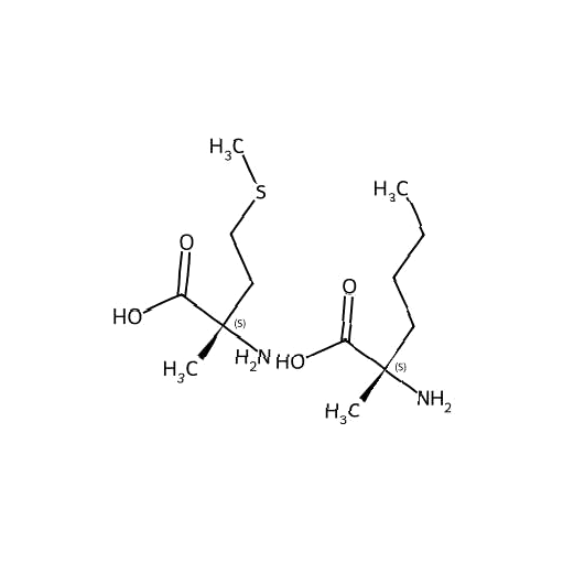 CCCC[C@](C)(N)C(=O)O.CSCC[C@](C)(N)C(=O)O